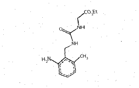 CCOC(=O)CNC(=O)NCc1c(C)cccc1N